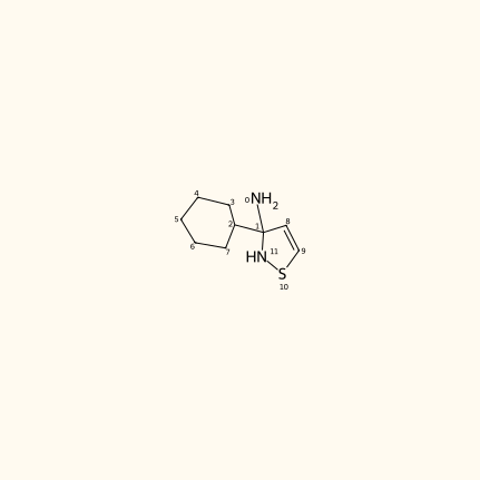 NC1(C2CCCCC2)C=CSN1